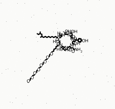 C=C1NC([C@H](O)CC(N)=O)C(=O)N2CC[C@H](O)C2C(=O)N[C@H](OCCCCCCOCCOCCOCCOCCOCCOCCOCCOC)[C@H](O)C[C@H](NC(=O)CCCCCCCCC(C)CC(C)CC)C(=O)NC([C@@H](C)O)C(=O)N2C[C@H](O)CC2C(=O)NC1[C@H](O)[C@@H](O)c1ccc(O)cc1